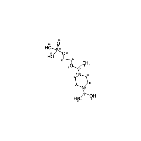 CC(O)N1CCN(C(C)OCCOP(=O)(O)O)CC1